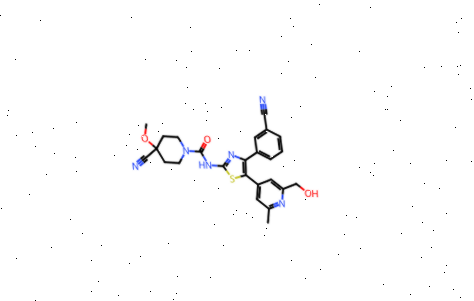 COC1(C#N)CCN(C(=O)Nc2nc(-c3cccc(C#N)c3)c(-c3cc(C)nc(CO)c3)s2)CC1